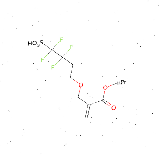 C=C(COCCC(F)(F)C(F)(F)S(=O)(=O)O)C(=O)OCCC